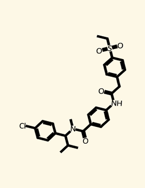 CCS(=O)(=O)c1ccc(CC(=O)Nc2ccc(C(=O)N(C)C(c3ccc(Cl)cc3)C(C)C)cc2)cc1